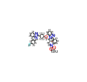 CC(C)(C)OC(=O)N1CCC(C(COc2ccc(-c3nc4ccccc4n3Cc3ccc(F)cc3)cc2)n2c(-c3ccccc3)nc3ccccc32)CC1